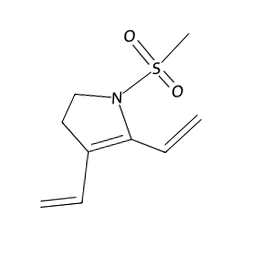 C=CC1=C(C=C)N(S(C)(=O)=O)CC1